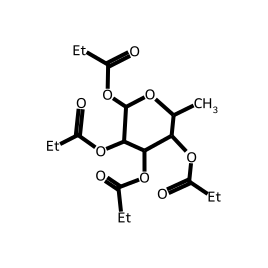 CCC(=O)OC1OC(C)C(OC(=O)CC)C(OC(=O)CC)C1OC(=O)CC